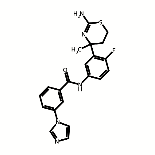 CC1(c2cc(NC(=O)c3cccc(-n4ccnc4)c3)ccc2F)CCSC(N)=N1